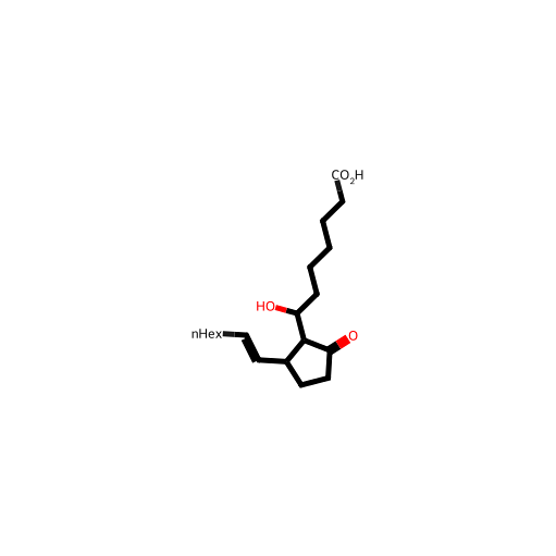 CCCCCCC=CC1CCC(=O)C1C(O)CCCCCC(=O)O